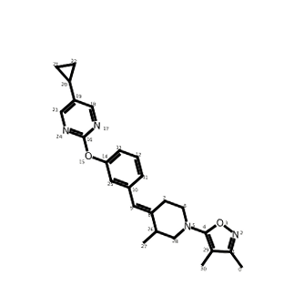 Cc1noc(N2CCC(=Cc3cccc(Oc4ncc(C5CC5)cn4)c3)C(C)C2)c1C